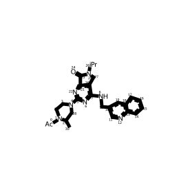 CC(=O)N1CCN(c2nc(NCc3cnc4ccccc4c3)c3c(n2)C(=O)N(C(C)C)C3)CC1C